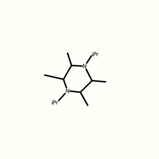 CC(C)N1C(C)C(C)N(C(C)C)C(C)C1C